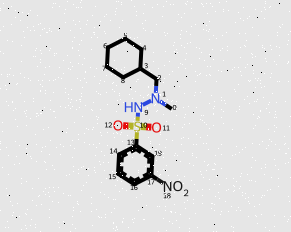 CN(CC1CCCCC1)NS(=O)(=O)c1cccc([N+](=O)[O-])c1